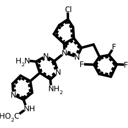 Nc1nc(-n2nc(Cc3c(F)ccc(F)c3F)c3cc(Cl)ccc32)nc(N)c1-c1ccnc(NC(=O)O)c1